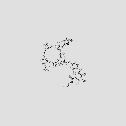 C=CCOC(=O)[C@H]1O[C@@H](Oc2ccc(COC(=O)O[C@H]3CC(=O)O[C@H](c4ccc5sc(C)nc5c4)CC=C(C)CCC[C@H](C)[C@H](O)[C@@H](CC=C)C(=O)C3(C)C)cc2F)[C@H](O)[C@@H](O)[C@@H]1O